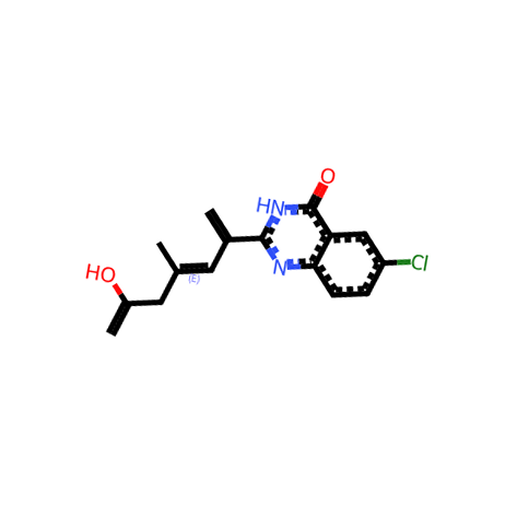 C=C(O)C/C(C)=C/C(=C)c1nc2ccc(Cl)cc2c(=O)[nH]1